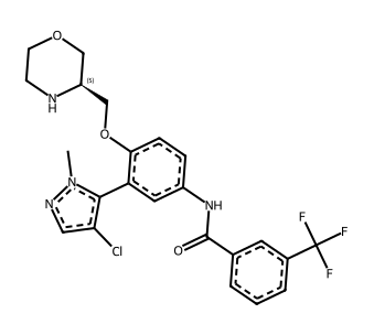 Cn1ncc(Cl)c1-c1cc(NC(=O)c2cccc(C(F)(F)F)c2)ccc1OC[C@@H]1COCCN1